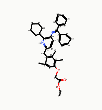 CCOC(=O)COc1cc(C)c(Cc2ccc(N=C(c3ccccc3)c3ccccc3)c(C3CCCCC3)n2)c(C)c1C